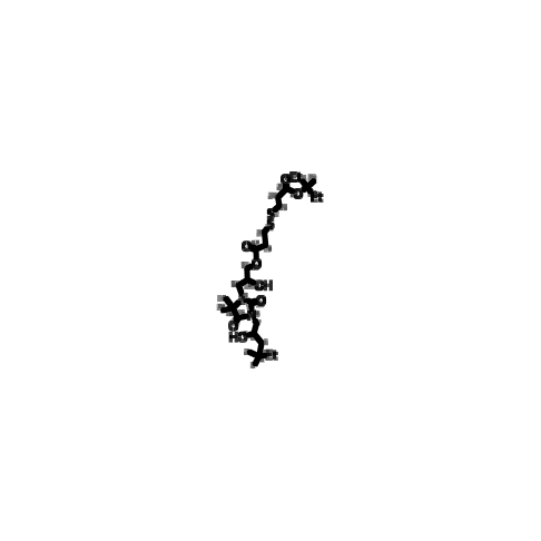 CCC(C)(C)CC(O)CN1C(=O)N(CC(O)COC(=O)CCSSCCC(=O)OC(C)(CC)CC)C(C)(C)C1=O